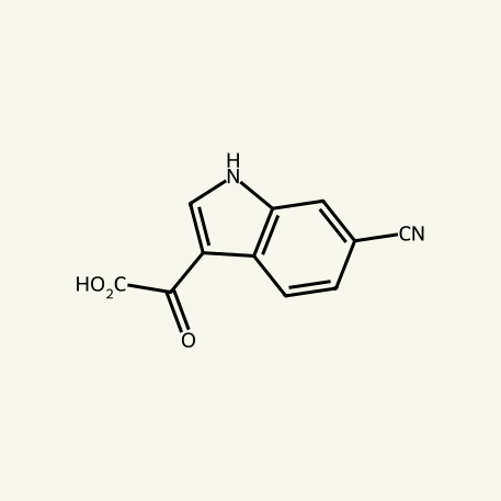 N#Cc1ccc2c(C(=O)C(=O)O)c[nH]c2c1